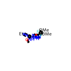 C=CC(=O)Nc1cc(N2CCN(CC)CC2)ccc1Nc1ncc2cc(-c3c(F)c(OC)cc(OC)c3F)c3ncnn3c2n1